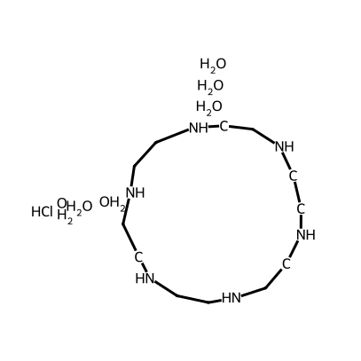 C1CNCCNCCNCCNCCNCCN1.Cl.O.O.O.O.O.O